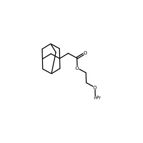 CCCOCCOC(=O)CC12CC3CC(CC(C3)C1)C2